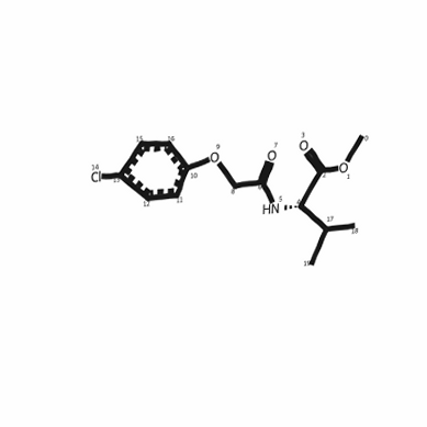 COC(=O)[C@@H](NC(=O)COc1ccc(Cl)cc1)C(C)C